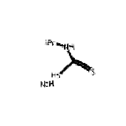 CC(C)NC(=S)S.[NaH]